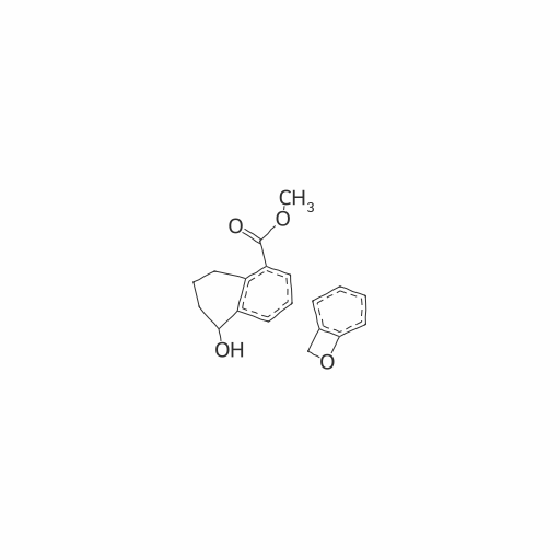 COC(=O)c1cccc2c1CCCC2O.c1ccc2c(c1)CO2